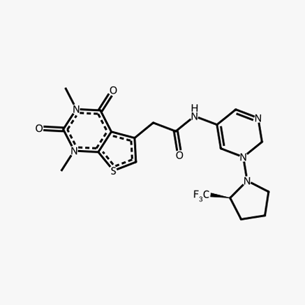 Cn1c(=O)c2c(CC(=O)NC3=CN(N4CCC[C@H]4C(F)(F)F)CN=C3)csc2n(C)c1=O